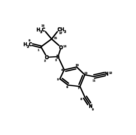 C=C1OB(c2ccc(C#N)c(C#N)c2)OC1(C)C